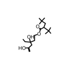 C=C(O)CC(O)(CC)CCOC(=O)C(CC(C)(C)C)C(C)(C)C